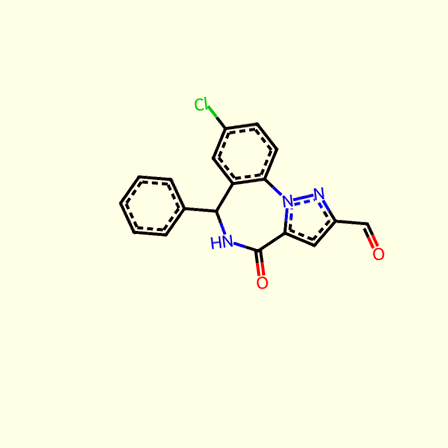 O=Cc1cc2n(n1)-c1ccc(Cl)cc1C(c1ccccc1)NC2=O